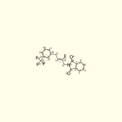 O=C1c2ccccc2C(=O)N1C/C(F)=C/Cc1cccc(C(F)(F)F)c1